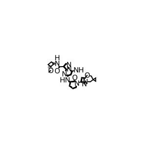 CNc1cc(Nc2cccn(-c3cc4n(n3)CC3(CC3)CO4)c2=O)nc2c(C(=O)N[C@@H]3CC[C@H]3OC)cnn12